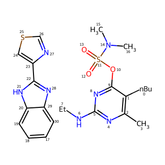 CCCCc1c(C)nc(NCC)nc1OS(=O)(=O)N(C)C.c1ccc2[nH]c(-c3cscn3)nc2c1